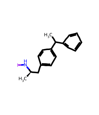 CC(c1ccccc1)c1ccc(C[C@@H](C)NI)cc1